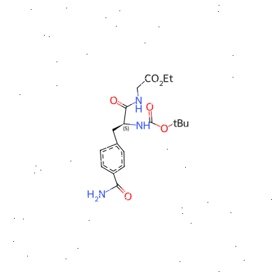 CCOC(=O)CNC(=O)[C@H](Cc1ccc(C(N)=O)cc1)NC(=O)OC(C)(C)C